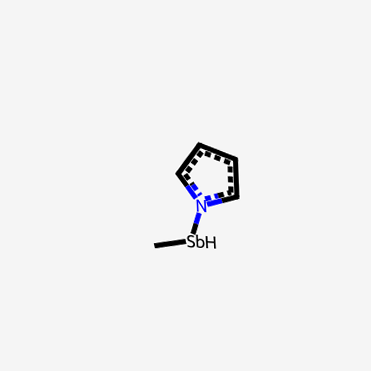 [CH3][SbH][n]1cccc1